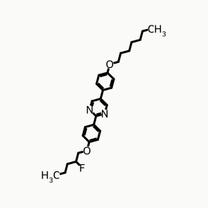 CCCCCCCOc1ccc(-c2cnc(-c3ccc(OCC(F)CCC)cc3)nc2)cc1